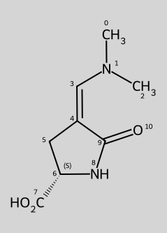 CN(C)C=C1C[C@@H](C(=O)O)NC1=O